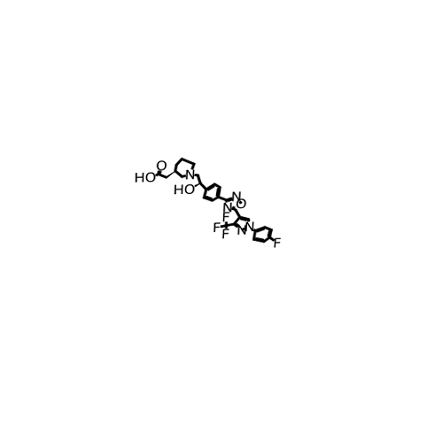 O=C(O)C[C@H]1CCCN(C[C@H](O)c2ccc(-c3noc(-c4cn(-c5ccc(F)cc5)nc4C(F)(F)F)n3)cc2)C1